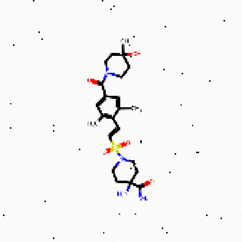 Cc1cc(C(=O)N2CCC(C)(O)CC2)cc(C)c1/C=C/S(=O)(=O)N1CCC(N)(C(N)=O)CC1